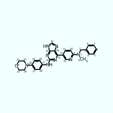 CN(Cc1ccccc1)c1ccc(-c2nc(Nc3ccc(N4CCOCC4)cc3)nc3[nH]cnc23)cn1